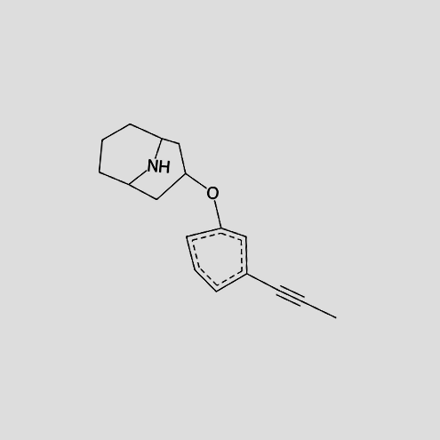 CC#Cc1cccc(OC2CC3CCCC(C2)N3)c1